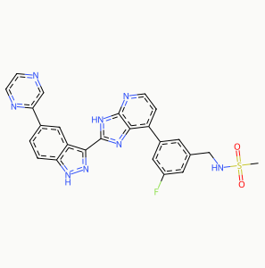 CS(=O)(=O)NCc1cc(F)cc(-c2ccnc3[nH]c(-c4n[nH]c5ccc(-c6cnccn6)cc45)nc23)c1